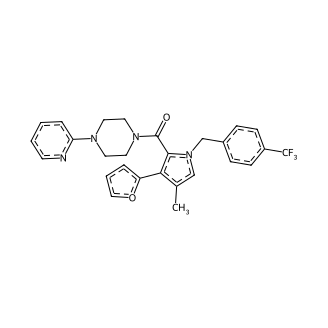 Cc1cn(Cc2ccc(C(F)(F)F)cc2)c(C(=O)N2CCN(c3ccccn3)CC2)c1-c1ccco1